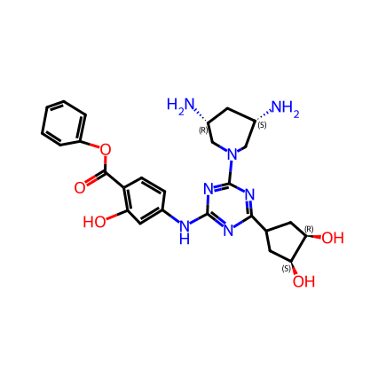 N[C@@H]1C[C@H](N)CN(c2nc(Nc3ccc(C(=O)Oc4ccccc4)c(O)c3)nc(C3C[C@@H](O)[C@@H](O)C3)n2)C1